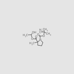 CC(O)OC(=O)C1(C)CCCN1C(=O)OC(C)(C)C